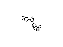 O=C1NCCn2nc(-c3ccnc(-c4ccc5sccc5c4)c3)cc21